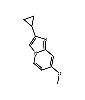 COc1ccn2cc(C3CC3)nc2c1